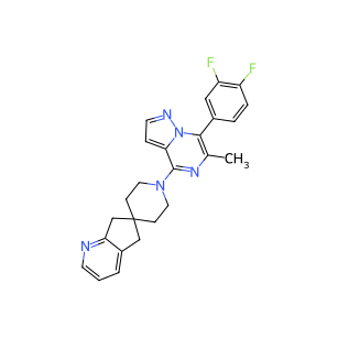 Cc1nc(N2CCC3(CC2)Cc2cccnc2C3)c2ccnn2c1-c1ccc(F)c(F)c1